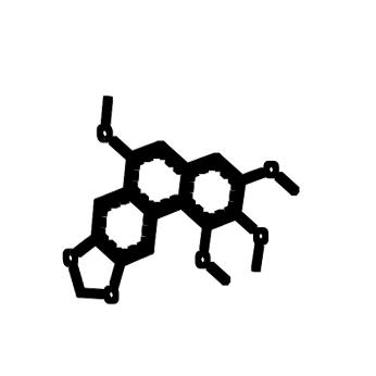 COc1cc2cc(OC)c3cc4c(cc3c2c(OC)c1OC)OCO4